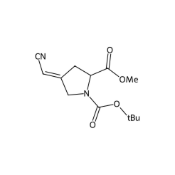 COC(=O)C1CC(=CC#N)CN1C(=O)OC(C)(C)C